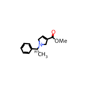 COC(=O)C1=CCN([C@H](C)c2ccccc2)C1